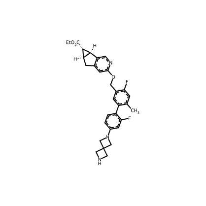 CCOC(=O)[C@H]1[C@@H]2Cc3cc(OCc4cc(-c5ccc(N6CC7(CNC7)C6)cc5F)c(C)cc4F)ncc3[C@@H]21